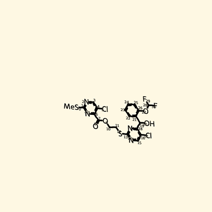 CSc1ncc(Cl)c(C(=O)OCCSc2ncc(Cl)c(C(O)c3ccccc3OC(F)F)n2)n1